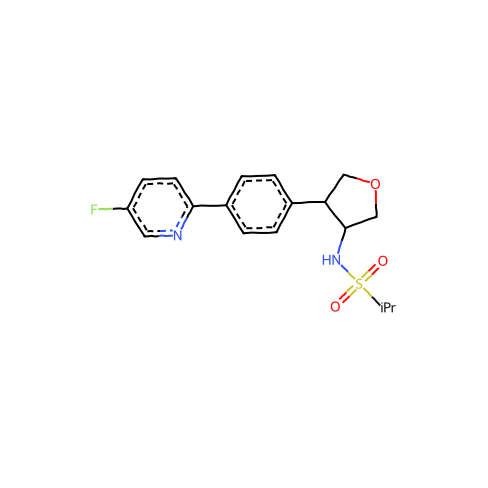 CC(C)S(=O)(=O)NC1COCC1c1ccc(-c2ccc(F)cn2)cc1